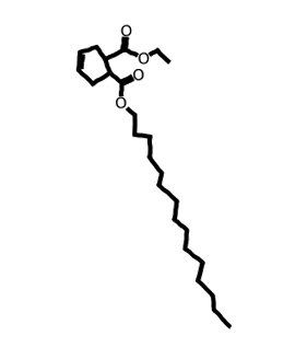 CCCCCCCCCCCCCCCOC(=O)C1CC=CCC1C(=O)OCC